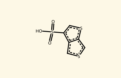 O=S(=O)(O)c1csc2cscc12